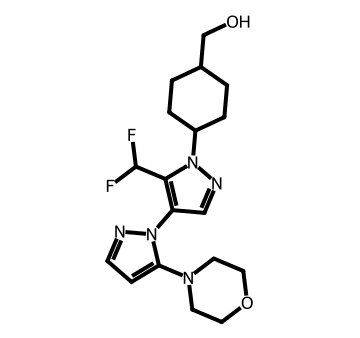 OCC1CCC(n2ncc(-n3nccc3N3CCOCC3)c2C(F)F)CC1